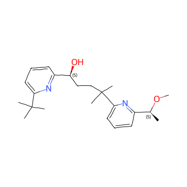 CO[C@@H](C)c1cccc(C(C)(C)CC[C@H](O)c2cccc(C(C)(C)C)n2)n1